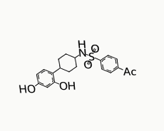 CC(=O)c1ccc(S(=O)(=O)NC2CCC(c3ccc(O)cc3O)CC2)cc1